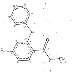 CCC(=O)c1ccc(O)cc1Cc1ccccc1